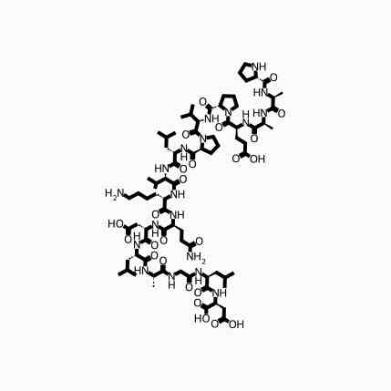 CC(C)C[C@H](NC(=O)CNC(=O)[C@H](C)NC(=O)[C@H](CC(C)C)NC(=O)[C@H](CC(=O)O)NC(=O)[C@H](CCC(N)=O)NC(=O)[C@H](CCCCN)NC(=O)[C@@H](NC(=O)[C@H](CC(C)C)NC(=O)[C@@H]1CCCN1C(=O)[C@@H](NC(=O)[C@@H]1CCCN1C(=O)[C@H](CCC(=O)O)NC(=O)[C@H](C)NC(=O)[C@H](C)NC(=O)[C@@H]1CCCN1)C(C)C)C(C)C)C(=O)N[C@@H](CC(=O)O)C(=O)O